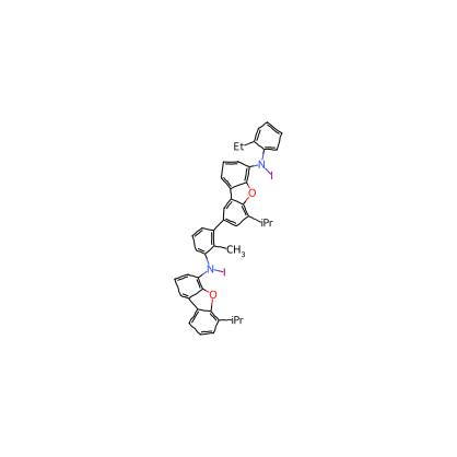 CCc1ccccc1N(I)c1cccc2c1oc1c(C(C)C)cc(-c3cccc(N(I)c4cccc5c4oc4c(C(C)C)cccc45)c3C)cc12